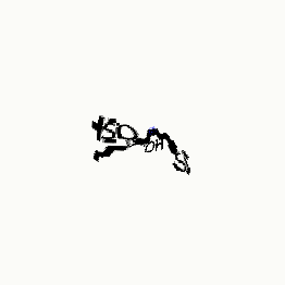 CCCCC[C@H](O[Si](C)(C)C(C)(C)C)[C@H](O)/C=C\C=CC#C[Si](C)(C)C